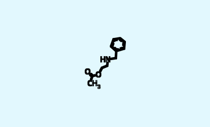 CC(=O)OCCNCc1ccccc1